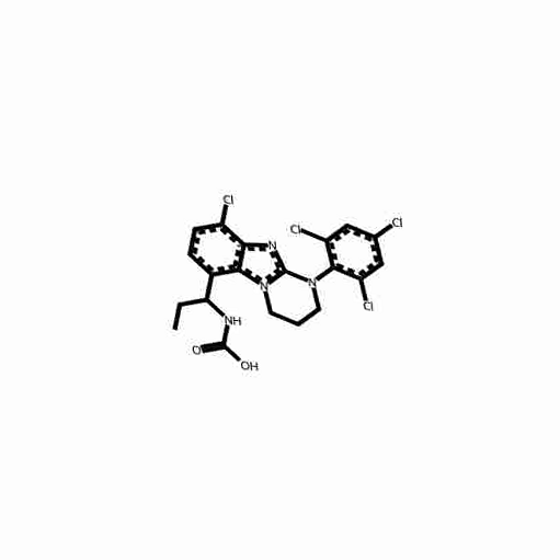 CCC(NC(=O)O)c1ccc(Cl)c2nc3n(c12)CCCN3c1c(Cl)cc(Cl)cc1Cl